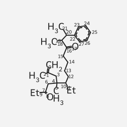 C=C(C)CC(C)(CC(=O)CC)C(CC)CCCCC(=O)C(C)C(C)c1ccccc1